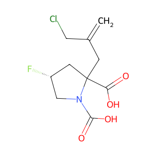 C=C(CCl)CC1(C(=O)O)C[C@@H](F)CN1C(=O)O